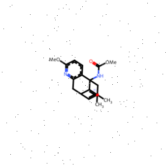 C/C=C1\C2C=C(C)CC1(NC(=O)OC)c1ccc(OC)nc1C2